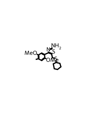 COc1cc(-c2nc(N)sc2CSC2CCCCC2)c(OC)cc1C